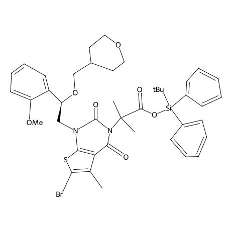 COc1ccccc1[C@H](Cn1c(=O)n(C(C)(C)C(=O)O[Si](c2ccccc2)(c2ccccc2)C(C)(C)C)c(=O)c2c(C)c(Br)sc21)OCC1CCOCC1